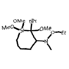 CCCC1(OC)C(N(C)OCC)CCC[Si]1(OC)OC